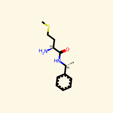 CSCC[C@H](N)C(=O)N[C@H](C)c1ccccc1